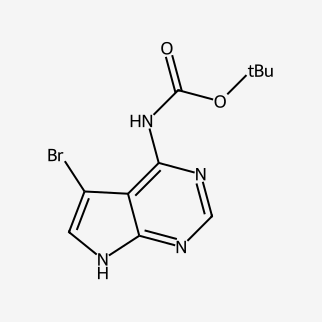 CC(C)(C)OC(=O)Nc1ncnc2[nH]cc(Br)c12